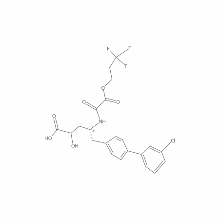 O=C(N[C@H](Cc1ccc(-c2cccc(Cl)c2)cc1)CC(O)C(=O)O)C(=O)OCCC(F)(F)F